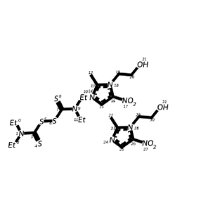 CCN(CC)C(=S)SSC(=S)N(CC)CC.Cc1ncc([N+](=O)[O-])n1CCO.Cc1ncc([N+](=O)[O-])n1CCO